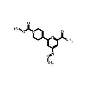 CC(C)(C)OC(=O)N1CC=C(c2cc(N=NN)cc(C(N)=O)n2)CC1